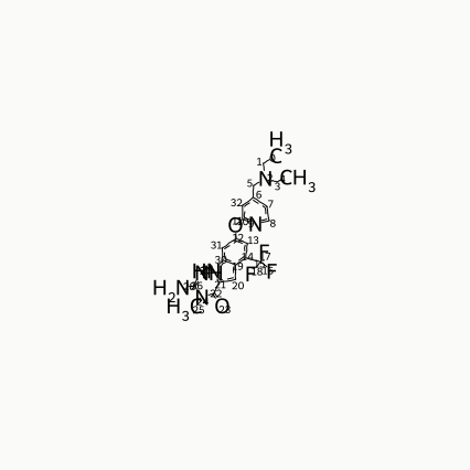 CCN(CC)Cc1ccnc(Oc2cc(C(F)(F)F)c3cc(C(=O)N(C)C(=N)N)[nH]c3c2)c1